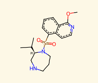 COc1nccc2c(S(=O)(=O)N3CCCNC[C@H]3C(C)C)cccc12